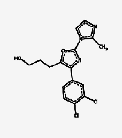 Cc1nccn1-c1nc(-c2ccc(Cl)c(Cl)c2)c(CCCO)o1